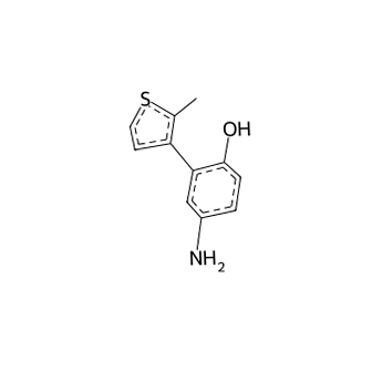 Cc1sccc1-c1cc(N)ccc1O